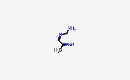 BC(=N)/C=N\CN